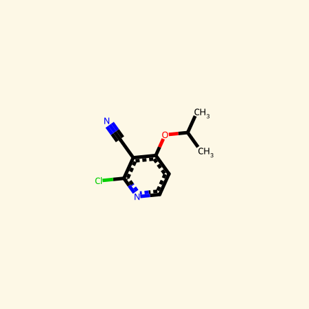 CC(C)Oc1ccnc(Cl)c1C#N